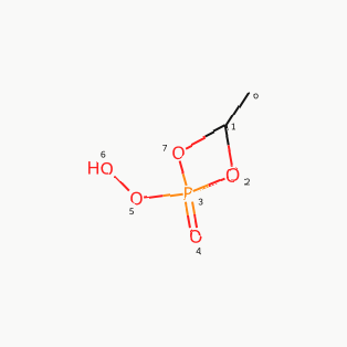 CC1OP(=O)(OO)O1